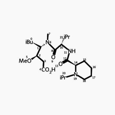 CC[C@H](C)[C@@H]([C@@H](CC(=O)O)OC)N(C)C(=O)[C@@H](NC(=O)[C@H]1CCCCN1C(C)C)C(C)C